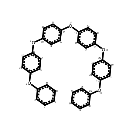 c1ccc(Oc2ccc(Oc3ccc(Oc4ccc(Oc5ccc(Oc6ccccc6)cc5)cc4)cc3)cc2)cc1